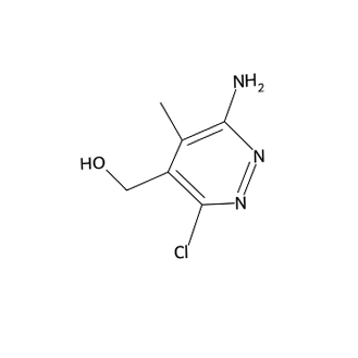 Cc1c(N)nnc(Cl)c1CO